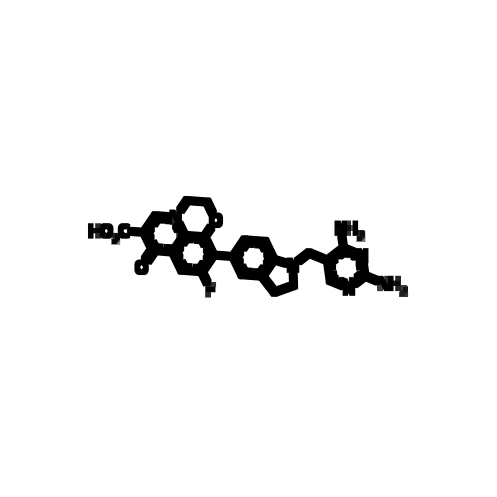 Nc1ncc(CN2CCc3cc(-c4c(F)cc5c(=O)c(C(=O)O)cn6c5c4OCC6)ccc32)c(N)n1